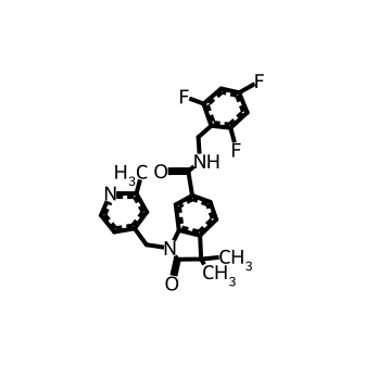 Cc1cc(CN2C(=O)C(C)(C)c3ccc(C(=O)NCc4c(F)cc(F)cc4F)cc32)ccn1